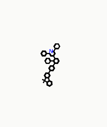 CC1(C)c2ccccc2-c2cc(-c3ccc(-c4cccc(-c5cc(C6=CCCC=C6)nc(-c6ccccc6)c5)c4C4=CC=CCC4)cc3)ccc21